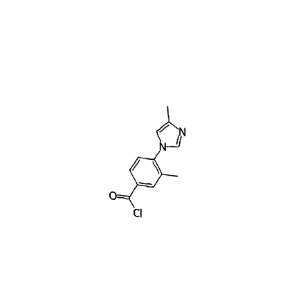 Cc1cn(-c2ccc(C(=O)Cl)cc2C)cn1